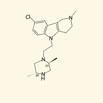 C[C@@H]1CN(CCn2c3c(c4cc(Cl)ccc42)CN(C)CC3)[C@@H](C)CN1